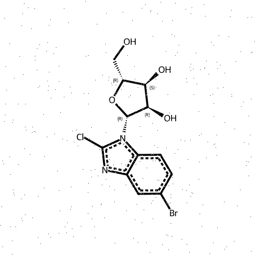 OC[C@H]1O[C@@H](n2c(Cl)nc3cc(Br)ccc32)[C@H](O)[C@@H]1O